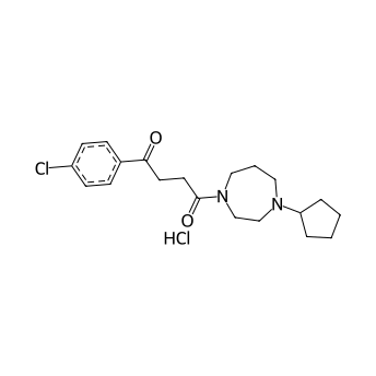 Cl.O=C(CCC(=O)N1CCCN(C2CCCC2)CC1)c1ccc(Cl)cc1